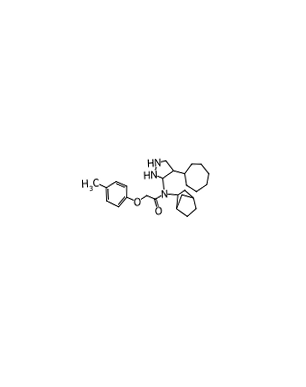 Cc1ccc(OCC(=O)N(C2CC3CCC2C3)C2NNCC2C2CCCCCC2)cc1